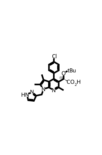 Cc1nc2c(c(C)c(C)n2Cc2cc[nH]n2)c(-c2ccc(Cl)cc2)c1[C@H](OC(C)(C)C)C(=O)O